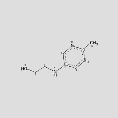 Cc1ncc(NCCO)cn1